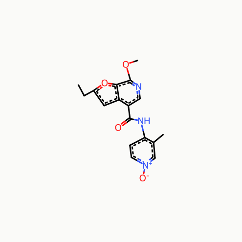 CCc1cc2c(C(=O)Nc3cc[n+]([O-])cc3C)cnc(OC)c2o1